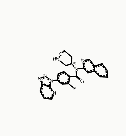 O=C(c1ccc(-n2nnc3cccnc32)cc1F)N(c1cc2ccccc2cn1)[C@@H]1CCCNC1